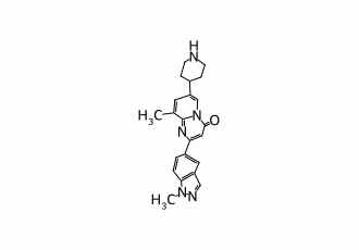 Cc1cc(C2CCNCC2)cn2c(=O)cc(-c3ccc4c(cnn4C)c3)nc12